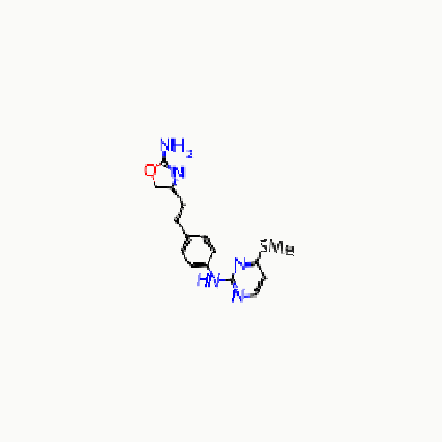 CSc1ccnc(Nc2ccc(CCC3COC(N)=N3)cc2)n1